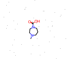 CN1CCCN(C(=O)O)CC1